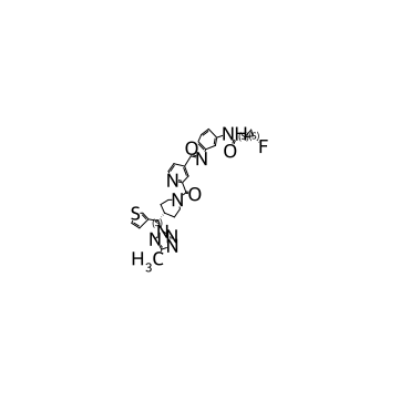 Cc1nnn([C@H](c2ccsc2)C2CCN(C(=O)c3cc(-c4nc5cc(NC(=O)[C@@H]6C[C@@H]6F)ccc5o4)ccn3)CC2)n1